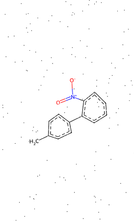 [CH2]c1ccc(-c2ccccc2[N+](=O)[O-])cc1